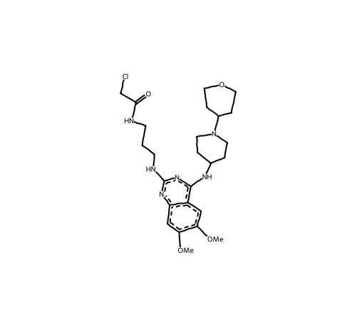 COc1cc2nc(NCCCNC(=O)CCl)nc(NC3CCN(C4CCOCC4)CC3)c2cc1OC